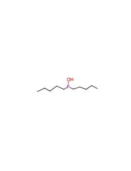 CCCCCP(O)CCCCC